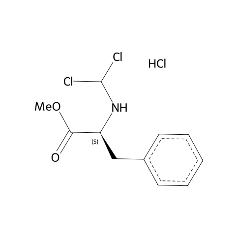 COC(=O)[C@H](Cc1ccccc1)NC(Cl)Cl.Cl